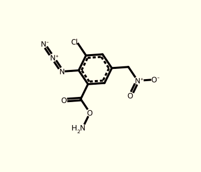 [N-]=[N+]=Nc1c(Cl)cc(C[N+](=O)[O-])cc1C(=O)ON